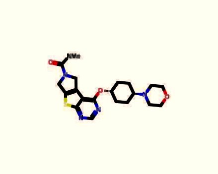 CNC(=O)N1Cc2sc3ncnc(O[C@H]4CC[C@H](N5CCOCC5)CC4)c3c2C1